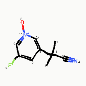 CC(C)(C#N)c1cc(F)c[n+]([O-])c1